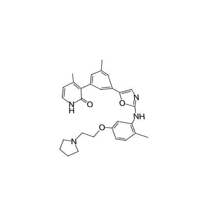 Cc1cc(-c2cnc(Nc3cc(OCCN4CCCC4)ccc3C)o2)cc(-c2c(C)cc[nH]c2=O)c1